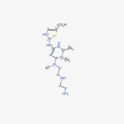 CCN(CCNCCN)C1C=C(NC2NC=C(C(=O)O)S2)NC(C)N1C